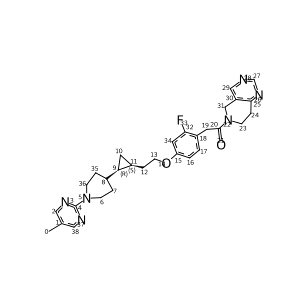 Cc1cnc(N2CCC([C@H]3C[C@H]3CCOc3ccc(CC(=O)N4CCc5ncncc5C4)c(F)c3)CC2)nc1